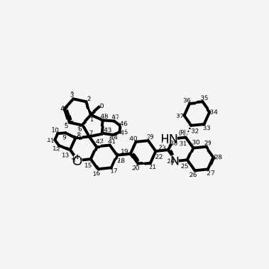 CC12CCC=CC1C1(C3CCCCC3OC3CCC(C4=CCC(C5=NC6CCCCC6[C@@H](C6CCCCC6)N5)CC4)CC31)C1CCCCC12